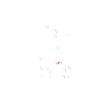 CC(=O)c1c([C@@H]2C[C@H]3CC[C@@H](C2)N3C(=O)CO)nc2c(-c3ccc(-c4nn(C)cc4F)nc3)cnn2c1N